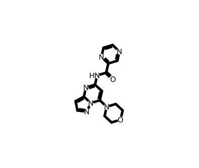 O=C(Nc1cc(N2CCOCC2)n2nccc2n1)c1cnccn1